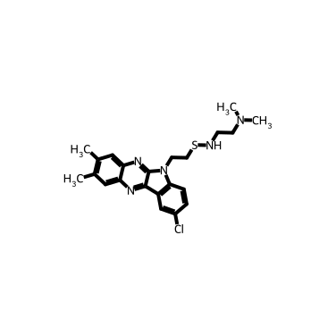 Cc1cc2nc3c4cc(Cl)ccc4n(CCSNCCN(C)C)c3nc2cc1C